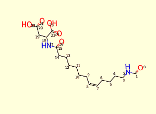 O=CNCCCC/C=C\CCCCCCC(=O)NC(CC(=O)O)C(=O)O